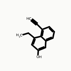 C#Cc1cccc2cc(O)cc(CC)c12